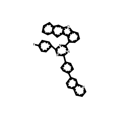 Fc1ccc(-c2nc(-c3ccc(-c4ccc5cccnc5c4)cc3)nc(-c3cccc4oc5cc6ccccc6cc5c34)n2)cc1